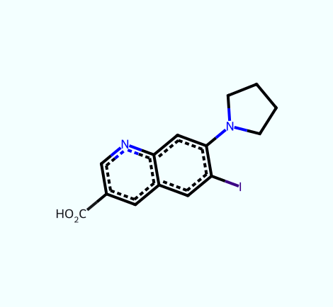 O=C(O)c1cnc2cc(N3CCCC3)c(I)cc2c1